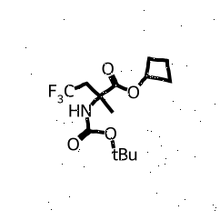 CC(C)(C)OC(=O)NC(C)(CC(F)(F)F)C(=O)OC1CCC1